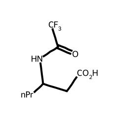 CCCC(CC(=O)O)NC(=O)C(F)(F)F